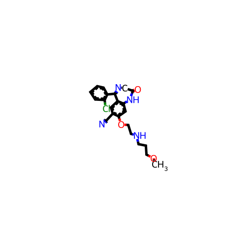 COCCCNCCOc1cc2c(cc1C#N)C(c1ccccc1Cl)=NCC(=O)N2